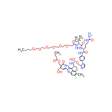 CCCCOCCOCCOCCOCCOCCOCCC(=O)N[C@H](C(=O)N[C@@H](CCCNC(N)=O)C(=O)Nc1ccc(-n2ccnc2COC(O)N[C@H]2CCc3c(C)c(F)cc4nc5c(c2c34)Cn2c-5cc(CO)c(COC(=O)CCC)c2=O)cc1)C(C)C